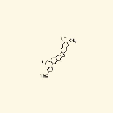 CCCCCCc1ccc(-c2cc3cc4sc5cc6cc(C)c(C)cc6cc5c4cc3cc2C)cc1